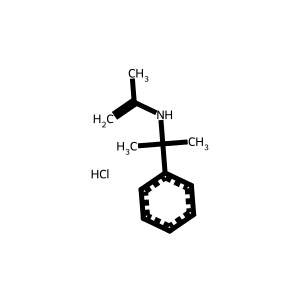 C=C(C)NC(C)(C)c1ccccc1.Cl